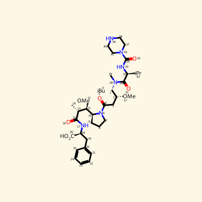 CC[C@H](C)[C@@H]([C@@H](CC(=O)N1CCC[C@H]1[C@H](OC)[C@@H](C)C(=O)N[C@@H](Cc1ccccc1)C(=O)O)OC)N(C)C(=O)[C@@H](NC(=O)N1CCNCC1)C(C)C